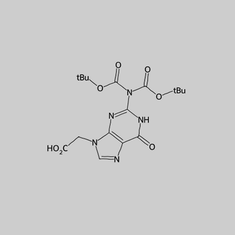 CC(C)(C)OC(=O)N(C(=O)OC(C)(C)C)c1nc2c(ncn2CC(=O)O)c(=O)[nH]1